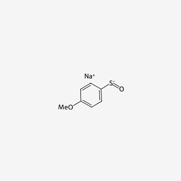 COc1ccc([S-]=O)cc1.[Na+]